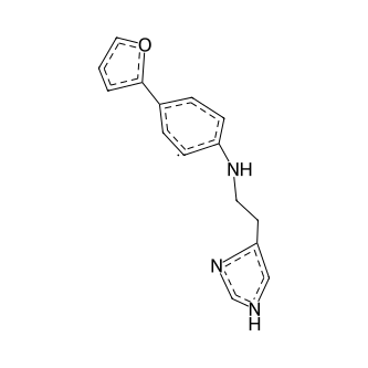 [c]1cc(-c2ccco2)ccc1NCCc1c[nH]cn1